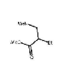 CCC(CNC)C(=O)OC